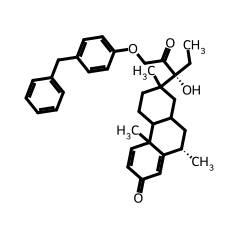 CC[C@](O)(C(=O)COc1ccc(Cc2ccccc2)cc1)C1(C)CCC2C(C[C@H](C)C3=CC(=O)C=CC32C)C1